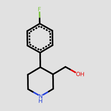 OCC1CNCCC1c1ccc(F)cc1